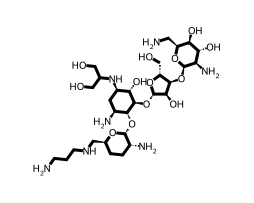 NCCCNC[C@@H]1CC[C@@H](N)[C@@H](O[C@H]2[C@H](O[C@@H]3O[C@H](CO)[C@@H](O[C@H]4O[C@@H](CN)[C@@H](O)[C@H](O)[C@H]4N)[C@H]3O)[C@@H](O)[C@H](NC(CO)CO)C[C@@H]2N)O1